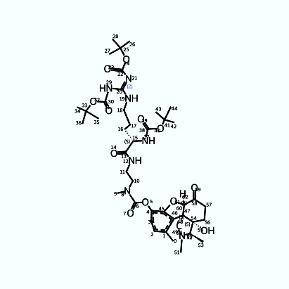 Cc1ccc(OC(=O)N(C)CCNC(=O)[C@H](CCCN/C(=N/C(=O)OC(C)(C)C)NC(=O)OC(C)(C)C)NC(=O)OC(C)(C)C)c2c1[C@]13CCN(C)[C@H](C)[C@]1(O)CCC(=O)[C@@H]3O2